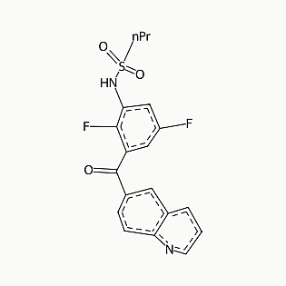 CCCS(=O)(=O)Nc1cc(F)cc(C(=O)c2ccc3ncccc3c2)c1F